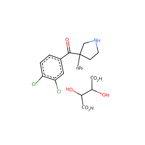 CCCC1(C(=O)c2ccc(Cl)c(Cl)c2)CCNC1.O=C(O)C(O)C(O)C(=O)O